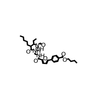 CCCCCC(C(=O)NCNC(=O)c1ccc(-c2ccc(C(=O)OCCCC)cc2)o1)C(CC)N(O)C=O